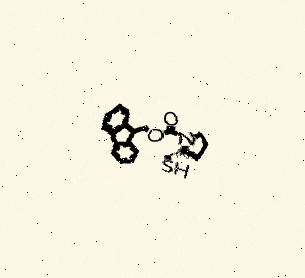 O=C(OCC1c2ccccc2-c2ccccc21)N1CCC[C@@H]1CS